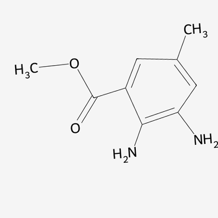 COC(=O)c1cc(C)cc(N)c1N